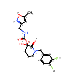 Cc1cc(CNC(=O)OC2(O)CCCN(Cc3ccc(F)c(F)c3)C2=O)no1